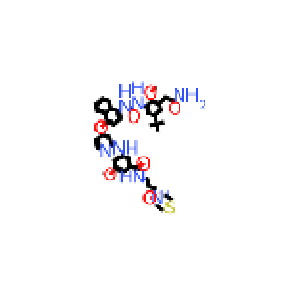 COc1cc(Nc2cc(Oc3ccc(NC(=O)Nc4cc(C(C)(C)C)cc(CC(N)=O)c4OC)c4ccccc34)ccn2)cc(C(=O)NCCC[N+]2([O-])CCSCC2)c1